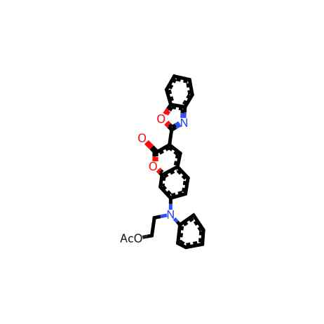 CC(=O)OCCN(c1ccccc1)c1ccc2cc(-c3nc4ccccc4o3)c(=O)oc2c1